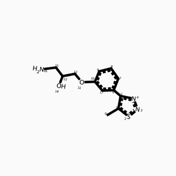 Cc1snnc1-c1cccc(OCC(O)CN)c1